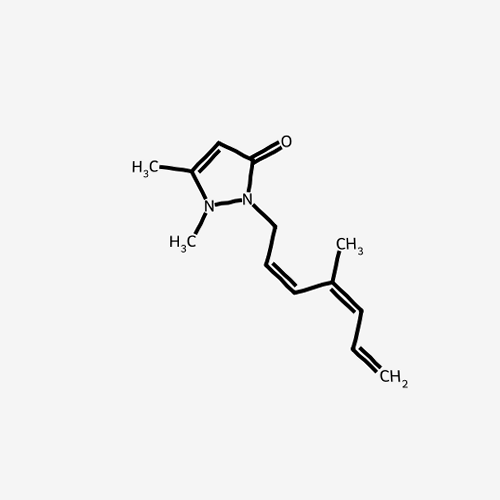 C=C/C=C(C)\C=C/Cn1c(=O)cc(C)n1C